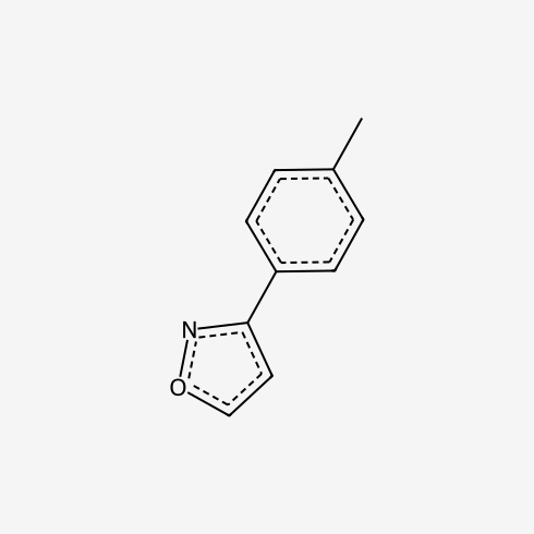 Cc1ccc(-c2ccon2)cc1